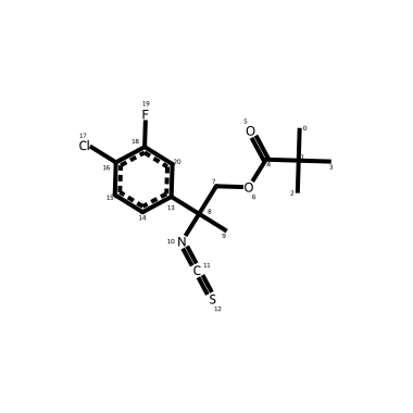 CC(C)(C)C(=O)OCC(C)(N=C=S)c1ccc(Cl)c(F)c1